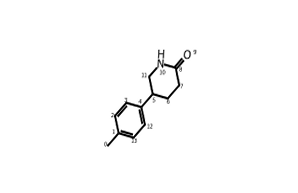 Cc1ccc(C2CCC(=O)NC2)cc1